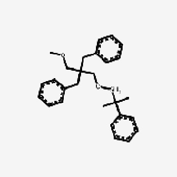 COCC(CO[SiH2]C(C)(C)c1ccccc1)(Cc1ccccc1)Cc1ccccc1